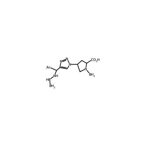 BBNC(C(C)=O)c1cn(C2CC(C(=O)O)N(B)C2)nn1